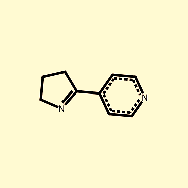 c1cc(C2=NCCC2)ccn1